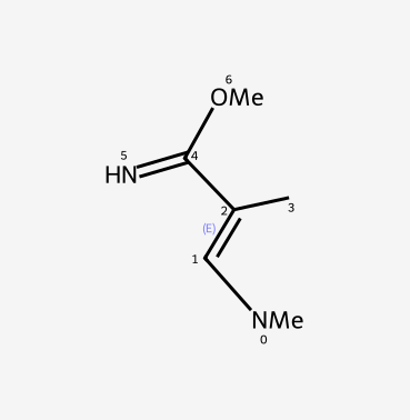 CN/C=C(\C)C(=N)OC